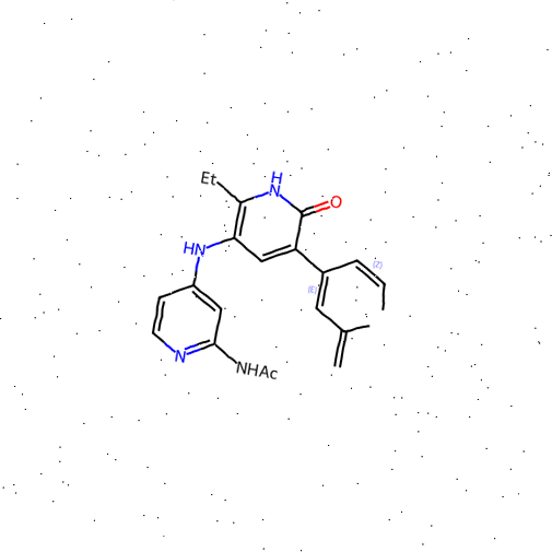 C=C(C)/C=C(\C=C/C)c1cc(Nc2ccnc(NC(C)=O)c2)c(CC)[nH]c1=O